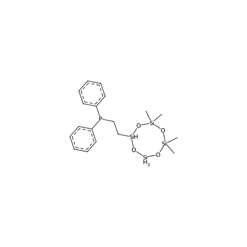 C[Si]1(C)O[SiH2]O[SiH](CCP(c2ccccc2)c2ccccc2)O[Si](C)(C)O1